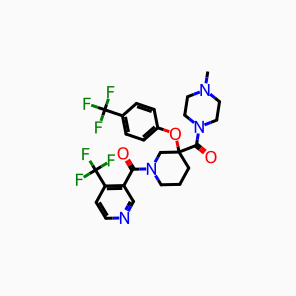 CN1CCN(C(=O)C2(Oc3ccc(C(F)(F)F)cc3)CCCN(C(=O)c3cnccc3C(F)(F)F)C2)CC1